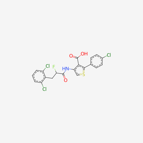 O=C(O)c1c(NC(=O)C(F)Cc2c(Cl)cccc2Cl)csc1-c1ccc(Cl)cc1